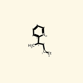 CCOCC(C)c1ccccn1